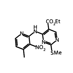 CCOC(=O)c1cnc(SC)nc1Nc1nccc(C)c1[N+](=O)[O-]